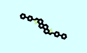 c1ccc(-c2ccc(-c3cc4ccc5c6ccc7c(ccc8cc(-c9ccc(-c%10ccccc%10)cc9)sc87)c6ccc5c4s3)cc2)cc1